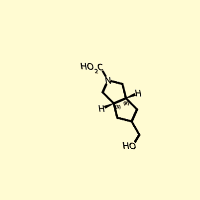 O=C(O)N1C[C@H]2CC(CO)C[C@H]2C1